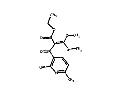 CCOC(=O)C(C(=O)c1ccc(C)nc1Cl)=C(SC)SC